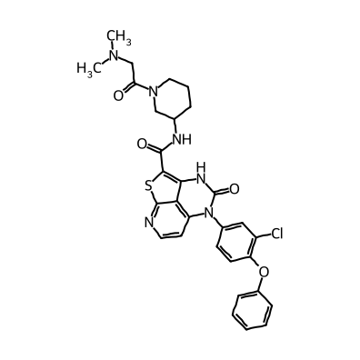 CN(C)CC(=O)N1CCCC(NC(=O)c2sc3nccc4c3c2NC(=O)N4c2ccc(Oc3ccccc3)c(Cl)c2)C1